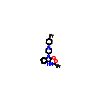 CC(C)C(=O)NC1C(=O)N(C2CCN([C@H]3CC[C@@H](C(C)C)CC3)CC2)c2ccccc21